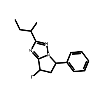 CCC(C)c1nc2n(n1)C(c1ccccc1)CC2F